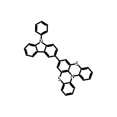 c1ccc(-n2c3ccccc3c3cc(-c4cc5c6c(c4)Sc4ccccc4N6c4ccccc4S5)ccc32)cc1